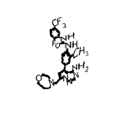 Cc1cc(-c2cc(CN3CCCOCC3)n3ncnc(N)c23)ccc1NC(=O)Nc1cc(C(F)(F)F)ccc1F